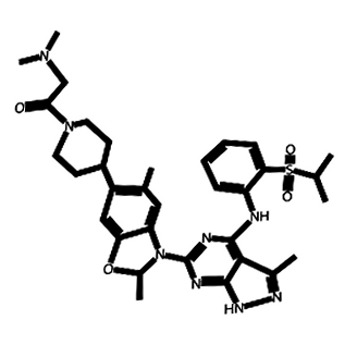 Cc1cc2c(cc1C1CCN(C(=O)CN(C)C)CC1)OC(C)N2c1nc(Nc2ccccc2S(=O)(=O)C(C)C)c2c(C)n[nH]c2n1